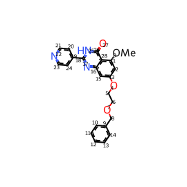 COc1cc(OCCOCc2ccccc2)cc2nc(-c3ccncc3)[nH]c(=O)c12